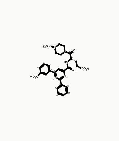 CCOC(=O)N1CCN(C(=O)[C@H](CCC(=O)O)NC(=O)c2cc(-c3cccc(C(=O)O)c3)nc(-c3ccccc3)n2)CC1